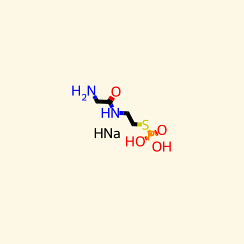 NCC(=O)NCCSP(=O)(O)O.[NaH]